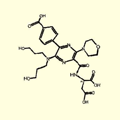 O=C(O)C[C@@H](NC(=O)c1nc(N(CCCO)CCCO)c(-c2ccc(C(=O)O)cc2)nc1N1CCOCC1)C(=O)O